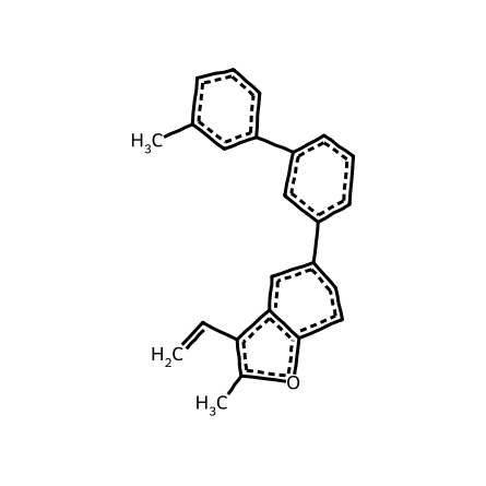 C=Cc1c(C)oc2ccc(-c3cccc(-c4cccc(C)c4)c3)cc12